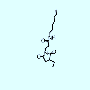 CCCCCCCNC(=O)CCN1C(=O)CC(CC)C1=O